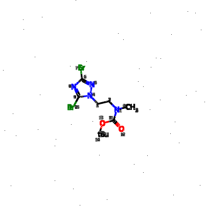 CN(CCn1nc(Br)nc1Br)C(=O)OC(C)(C)C